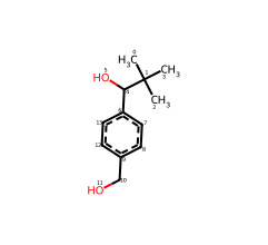 CC(C)(C)C(O)c1ccc(CO)cc1